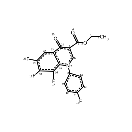 CCOC(=O)c1cn(-c2ccc(F)cc2)c2c(F)c(F)c(F)cc2c1=O